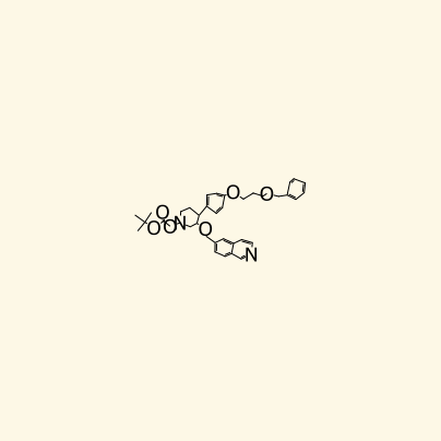 CC(C)(C)OC(=O)ON1CCC(c2ccc(OCCCOCc3ccccc3)cc2)C(OCc2ccc3cnccc3c2)C1